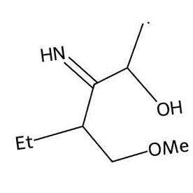 [CH2]C(O)C(=N)C(CC)COC